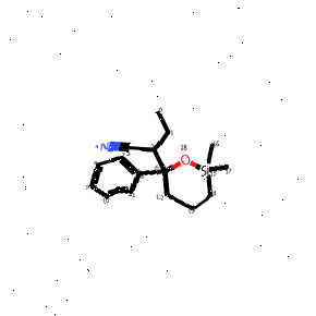 CCC(C#N)C1(c2ccccc2)CCC[Si](C)(C)O1